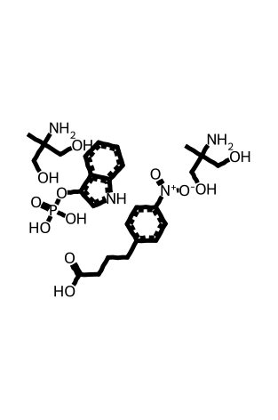 CC(N)(CO)CO.CC(N)(CO)CO.O=C(O)CCCc1ccc([N+](=O)[O-])cc1.O=P(O)(O)Oc1c[nH]c2ccccc12